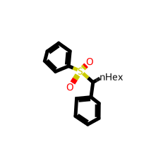 CCCCCCC(c1ccccc1)S(=O)(=O)c1ccccc1